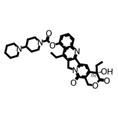 CCc1c2c(nc3cccc(OC(=O)N4CCC(N5CCCCC5)CC4)c13)-c1cc3c(c(=O)n1C2)COC(=O)[C@]3(O)CC